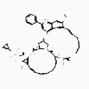 COc1cc2nc(-c3ccccc3)cc3c2cc1/C=C/CC[C@H](C)COC(=O)N[C@H]1CCCCC/C=C\[C@@H]2C[C@@]2(C(=O)NS(=O)(=O)C2CC2)NC(=O)[C@@H]2C[C@H](CN2C1=O)O3